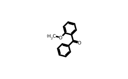 [CH2]Oc1ccccc1C(=O)c1ccccc1